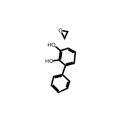 C1CO1.Oc1cccc(-c2ccccc2)c1O